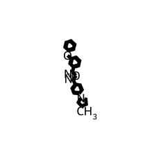 CC1CCN(c2ccc(-c3nnc(-c4cccc(Oc5ccccc5)c4)o3)cc2)C1